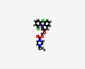 CN1CCN(C(=O)OCOC(=O)Cc2ccccc2Nc2c(Cl)cccc2Cl)CC1